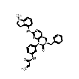 C=CC(=O)Nc1cccc(N2C(=O)N(Cc3ccccc3)Cc3cnc(Nc4cccc5c4CCN5C)nc32)c1